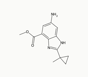 COC(=O)c1cc(N)cc2[nH]c(C3(C)CC3)nc12